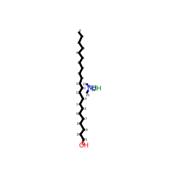 CCCCCCCCCCCCCCCCCCCCCCO.CNC.Cl